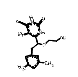 Cc1cc(C)cc(CC(OCCO)c2[nH]c(=O)[nH]c(=O)c2C(C)C)c1